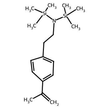 C=C(C)c1ccc(CCN([Si](C)(C)C)[Si](C)(C)C)cc1